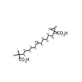 CC(C)(CCCCCOCCCCCC1(C(=O)O)CC1)C(=O)O